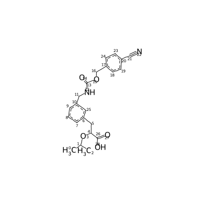 CC(C)OC(Cc1cccc(CNC(=O)OCc2ccc(C#N)cc2)c1)C(=O)O